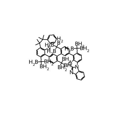 BC(B)(B)c1ccc(-c2c(C(B)(B)B)ccc3c2Sc2ccccc2C(C)(C)C3(C)C)cc1-c1cc(-c2c(C(B)(B)B)ccc3c2oc2nc4ccccc4n23)ccc1C(B)(B)B